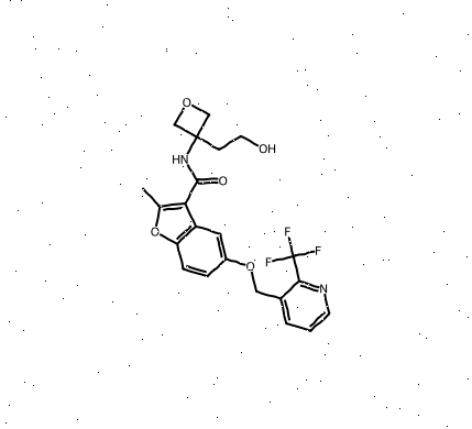 Cc1oc2ccc(OCc3cccnc3C(F)(F)F)cc2c1C(=O)NC1(CCO)COC1